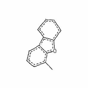 Cc1cccc2c1oc1cc[c]cc12